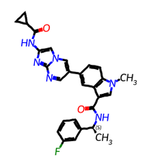 C[C@H](NC(=O)c1cn(C)c2ccc(-c3cnc4nc(NC(=O)C5CC5)cn4c3)cc12)c1cccc(F)c1